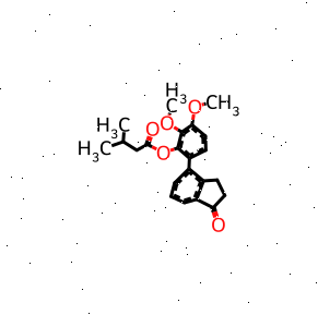 COc1ccc(-c2cccc3c2CCC3=O)c(OC(=O)CC(C)C)c1OC